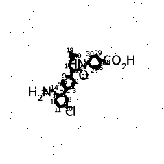 C=C(/C=C\C(=C/C)c1cc(Cl)ccc1CN)C(CC1CC1)C(=O)Nc1ccc(C(=O)O)cc1